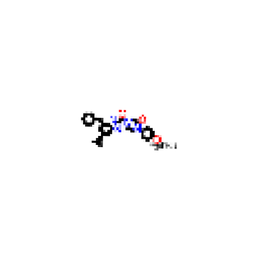 Cn1c(C(=O)N2CCN([C@H]3CC[C@H](O[Si](C)(C)C(C)(C)C)CC3)C(=O)C2)nc2c(CC3CCCCC3)cc(C3CC3)cc21